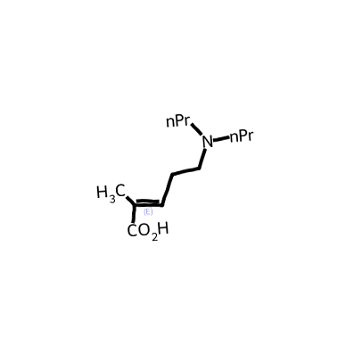 CCCN(CCC)CC/C=C(\C)C(=O)O